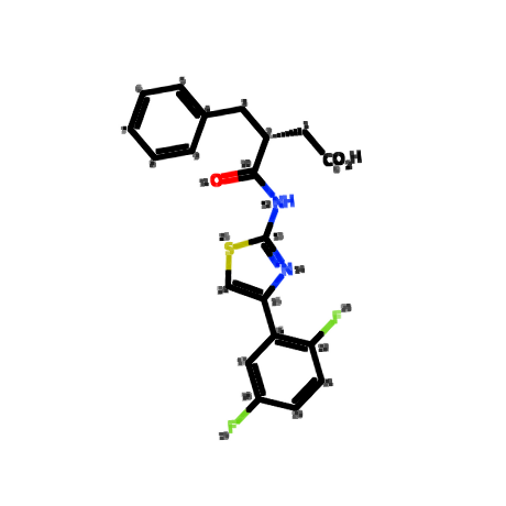 O=C(O)C[C@@H](Cc1ccccc1)C(=O)Nc1nc(-c2cc(F)ccc2F)cs1